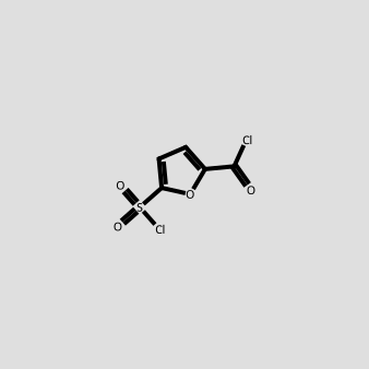 O=C(Cl)c1ccc(S(=O)(=O)Cl)o1